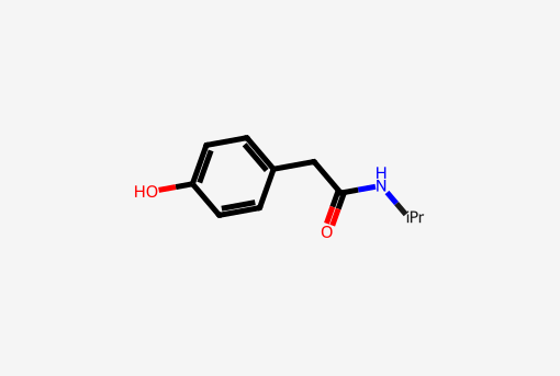 CC(C)NC(=O)Cc1ccc(O)cc1